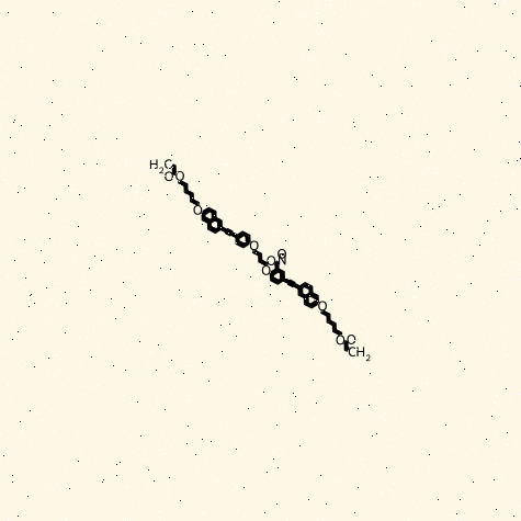 C=CC(=O)OCCCCCCOc1ccc2cc(C#Cc3ccc(OCCCCOc4ccc(C#Cc5ccc6cc(OCCCCCCOC(=O)C=C)ccc6c5)cc4C(=O)N=O)cc3)ccc2c1